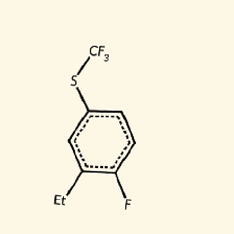 [CH2]Cc1cc(SC(F)(F)F)ccc1F